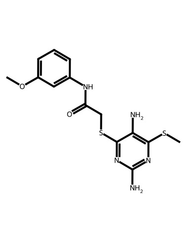 COc1cccc(NC(=O)CSc2nc(N)nc(SC)c2N)c1